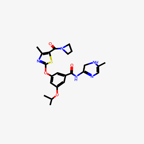 CC1=CN=C(NC(=O)c2cc(Oc3nc(C)c(C(=O)N4CCC4)s3)cc(OC(C)C)c2)CN1